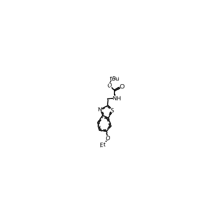 CCOc1ccc2nc(CNC(=O)OC(C)(C)C)sc2c1